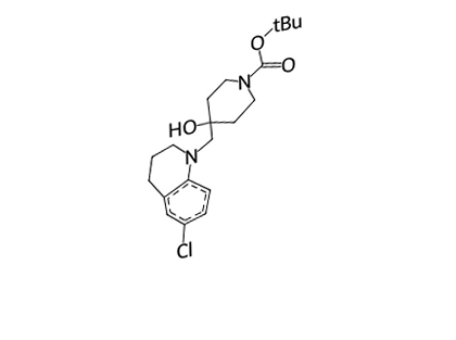 CC(C)(C)OC(=O)N1CCC(O)(CN2CCCc3cc(Cl)ccc32)CC1